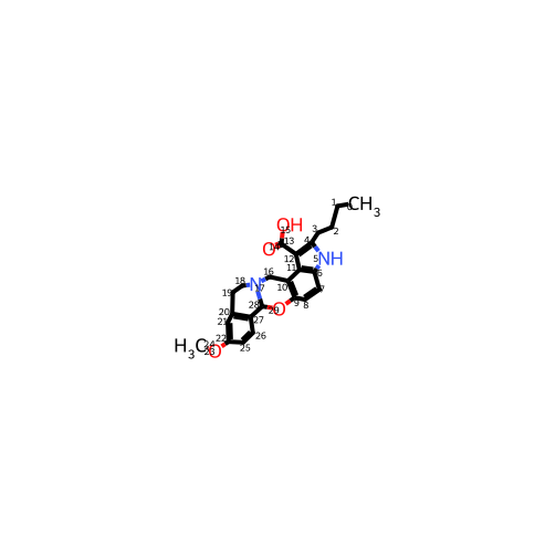 CCCCc1[nH]c2ccc3c(c2c1C(=O)O)CN1CCc2cc(OC)ccc2C1O3